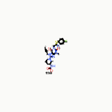 CC#CCn1c(N2CCC[C@@H](NC(=O)OC(C)(C)C)C2)nc2c1c(=O)n(Cc1nc3cc(F)ccc3s1)c(=O)n2C